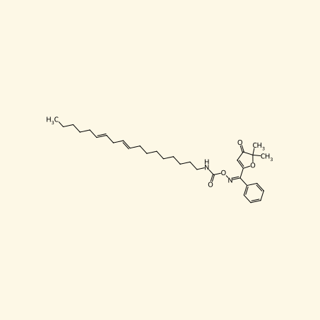 CCCCCC=CCC=CCCCCCCCCNC(=O)ON=C(C1=CC(=O)C(C)(C)O1)c1ccccc1